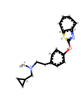 CCCN(CCc1ccc(Oc2nc3ccccc3s2)cc1)CC1CC1